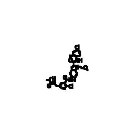 COCCn1c(C(=O)Nc2ccc(Cl)cc2F)cc2cc(NC(=O)c3cc(CNC(=O)C(C)C)ccc3Cl)ccc21